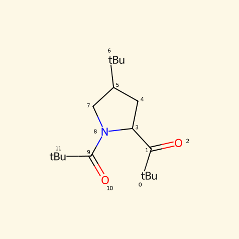 CC(C)(C)C(=O)C1CC(C(C)(C)C)CN1C(=O)C(C)(C)C